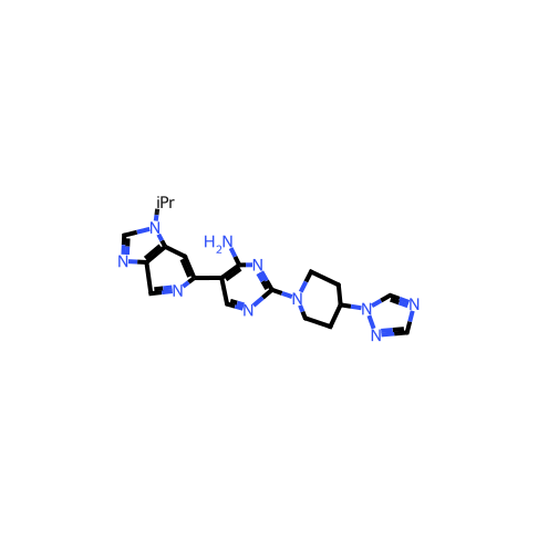 CC(C)n1cnc2cnc(-c3cnc(N4CCC(n5cncn5)CC4)nc3N)cc21